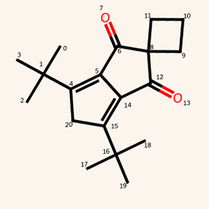 CC(C)(C)C1=C2C(=O)C3(CCC3)C(=O)C2=C(C(C)(C)C)C1